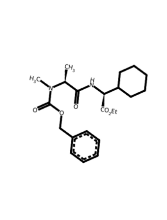 CCOC(=O)[C@@H](NC(=O)[C@H](C)N(C)C(=O)OCc1ccccc1)C1CCCCC1